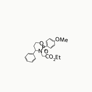 CCOC(=O)CN1C(c2ccccc2)CCOP1(=O)c1ccc(OC)cc1